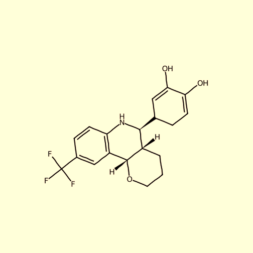 OC1=CCC([C@@H]2Nc3ccc(C(F)(F)F)cc3[C@H]3OCCC[C@H]32)C=C1O